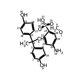 C=O.CC(C)(c1ccc(O)cc1)c1ccc(O)cc1.Nc1ccc(S(=O)(=O)O)cc1